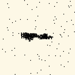 CCCc1noc(N2CCC(CCCOc3ccc(C(=O)NC(CO)CO)c(C)c3)CC2)n1